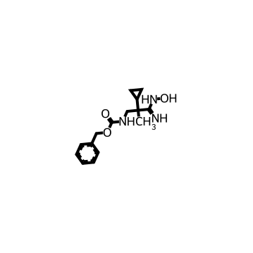 CC(CNC(=O)OCc1ccccc1)(C(=N)NO)C1CC1